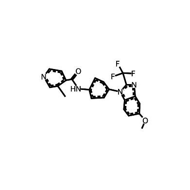 COc1ccc2c(c1)nc(C(F)(F)F)n2-c1ccc(NC(=O)c2ccncc2C)cc1